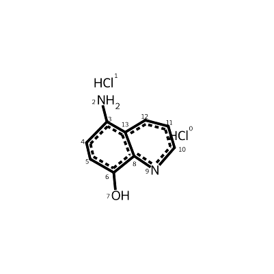 Cl.Cl.Nc1ccc(O)c2ncccc12